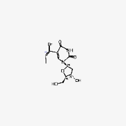 O=c1[nH]c(=O)n([C@H]2C[C@H](O)[C@@H](CO)O2)cc1/C(Br)=C\I